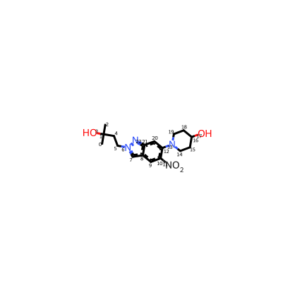 CC(C)(O)CCn1cc2cc([N+](=O)[O-])c(N3CCC(O)CC3)cc2n1